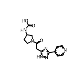 O=C(O)NC1CCN(C(=O)Cc2nc(-c3ccncc3)n[nH]2)C1